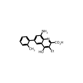 CCc1c(C(=O)O)nc2c(N)cc(-c3ccccc3C)cc2c1O